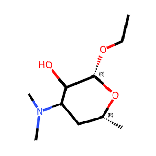 CCO[C@@H]1O[C@H](C)CC(N(C)C)C1O